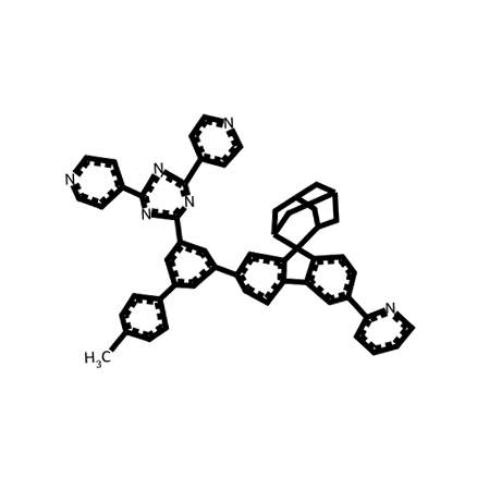 Cc1ccc(-c2cc(-c3ccc4c(c3)C3(c5ccc(-c6ccccn6)cc5-4)C4CC5CC(C4)CC3C5)cc(-c3nc(-c4ccncc4)nc(-c4ccncc4)n3)c2)cc1